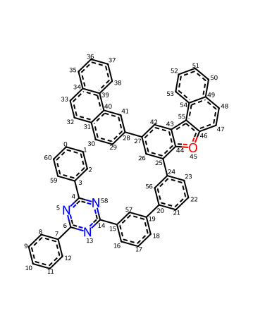 c1ccc(-c2nc(-c3ccccc3)nc(-c3cccc(-c4cccc(-c5cc(-c6ccc7ccc8ccccc8c7c6)cc6c5oc5ccc7ccccc7c56)c4)c3)n2)cc1